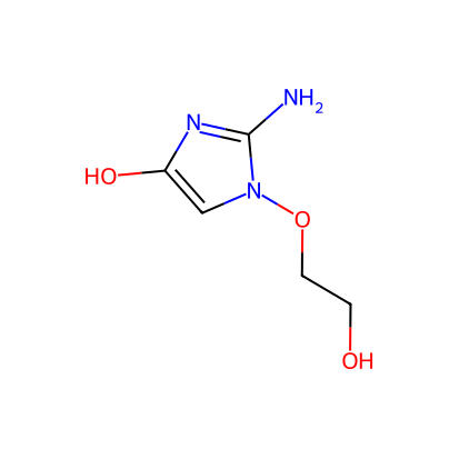 Nc1nc(O)cn1OCCO